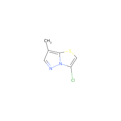 Cc1cnn2c(Cl)csc12